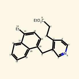 CCOC(=O)CCc1ccncc1Cc1ccc(CC)c2ccccc12